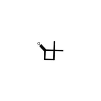 CC1(C)CCC1=O